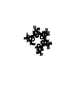 CCC(C[N+](C)(C)C)OCC(C[N+](C)(C)C)OCC(C[N+](C)(C)C)OCC(C[N+](C)(C)C)OCC(C[N+](C)(C)C)OC